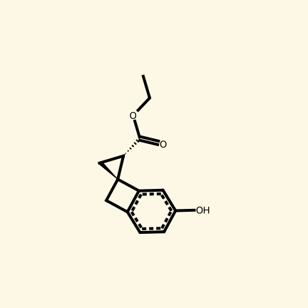 CCOC(=O)[C@H]1C[C@@]12Cc1ccc(O)cc12